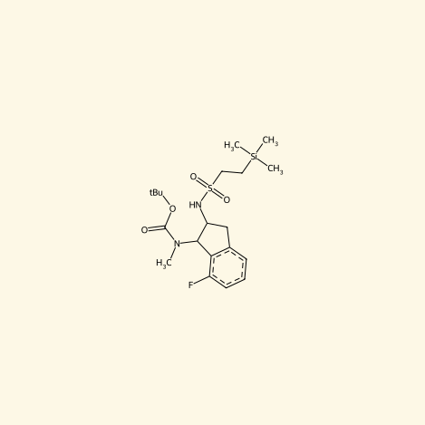 CN(C(=O)OC(C)(C)C)C1c2c(F)cccc2CC1NS(=O)(=O)CC[Si](C)(C)C